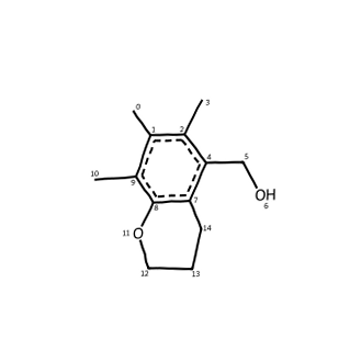 Cc1c(C)c(CO)c2c(c1C)OCCC2